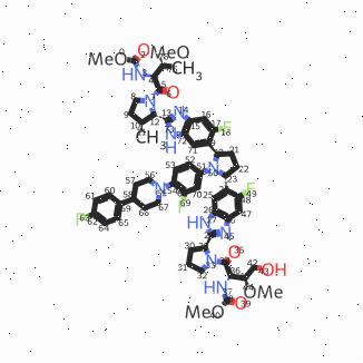 COC(=O)N[C@H](C(=O)N1CC[C@@H](C)[C@H]1c1nc2cc(F)c([C@H]3CC[C@H](c4cc5[nH]c([C@@H]6CCCN6C(=O)[C@@H](NC(=O)OC)[C@@H](CO)OC)nc5cc4F)N3c3ccc(N4CCC(c5ccc(F)cc5)CC4)c(F)c3)cc2[nH]1)[C@@H](C)OC